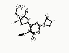 C#Cc1c(N2C[C@@H]3C(CC(=O)O)[C@@H]3C2)nc(N2CC[C@@H]2C)nc1C(F)(F)F